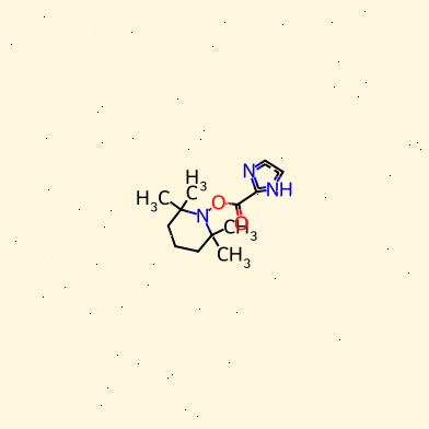 CC1(C)CCCC(C)(C)N1OC(=O)c1ncc[nH]1